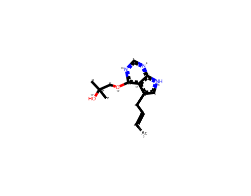 CC(=O)C=CCc1c[nH]c2ncnc(OCC(C)(C)O)c12